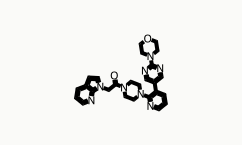 O=C(Cn1ccc2cccnc21)N1CCN(c2ncccc2-c2cnc(N3CCOCC3)nc2)CC1